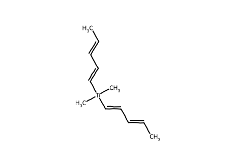 CC=CC=[CH][Ti]([CH3])([CH3])[CH]=CC=CC